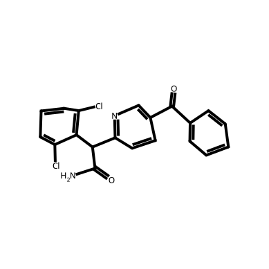 NC(=O)C(c1ccc(C(=O)c2ccccc2)cn1)c1c(Cl)cccc1Cl